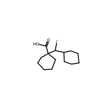 O=C(O)C1(C(I)C2CCCCC2)CCCCC1